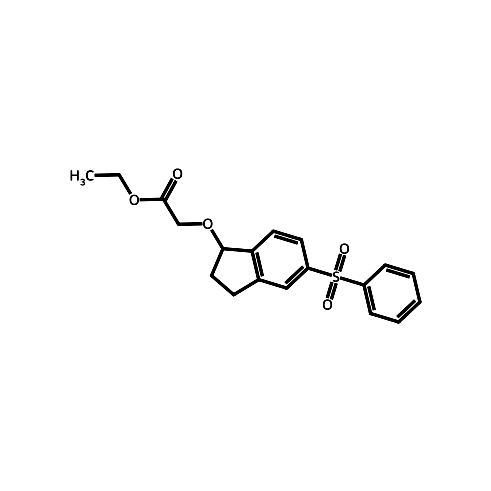 CCOC(=O)COC1CCc2cc(S(=O)(=O)c3ccccc3)ccc21